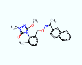 COc1nn(C)c(=O)n1-c1c(C)cccc1CO/N=C(/C)c1ccc2ccccc2c1